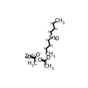 CC(=O)[O-].CC(=O)[O-].CCC[CH2][Sn](=[O])[CH2]CCC.[Zn+2]